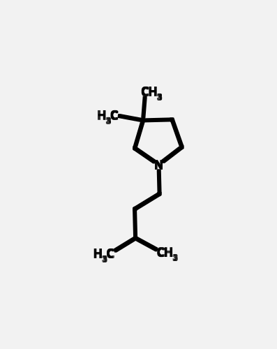 CC(C)CCN1CCC(C)(C)C1